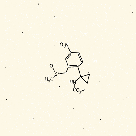 C[S+]([O-])Cc1cc([N+](=O)[O-])ccc1C1(NC(=O)O)CC1